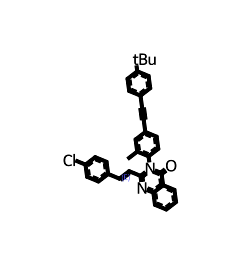 Cc1cc(C#Cc2ccc(C(C)(C)C)cc2)ccc1-n1c(/C=C/c2ccc(Cl)cc2)nc2ccccc2c1=O